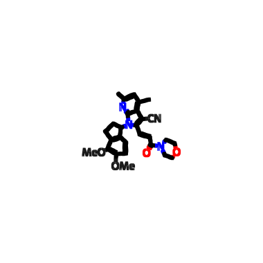 COc1ccc2c(c1OC)CCC2n1c(C=CC(=O)N2CCOCC2)c(C#N)c2c(C)cc(C)nc21